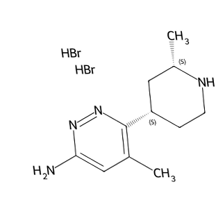 Br.Br.Cc1cc(N)nnc1[C@H]1CCN[C@@H](C)C1